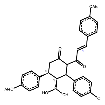 COc1ccc(/C=C/C(=O)C2C(=O)C[C@H](c3ccc(OC)cc3)[C@H](N(O)O)C2c2ccc(Cl)cc2)cc1